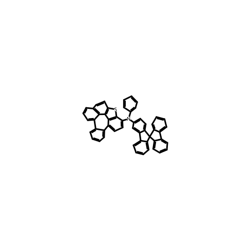 c1ccc(N(c2ccc3c(c2)-c2ccccc2C32c3ccccc3-c3ccccc32)c2ccc3c4c2sc2ccc5cccc(c5c24)-c2ccccc2-3)cc1